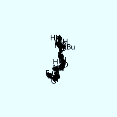 Cc1[nH]nc(Nc2ncnc3cc(OCCCN4CCN(c5ncc(C(=O)N6CCN(C[C@H]7CN[C@H](C)CN7CC(=O)N7CC(C)(C)c8c7cc(Cc7ccc(F)cc7)c(=O)n8C)[C@H](C)C6)cn5)CC4)c(S(=O)(=O)C(C)(C)C)cc23)c1C